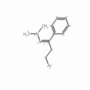 CC(=O)CC/C(=N/N(C)C)c1ccccc1